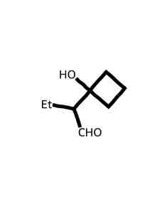 CCC(C=O)C1(O)CCC1